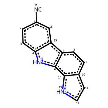 [C-]#[N+]c1ccc2[nH]c3c(ccc4cc[nH]c43)c2c1